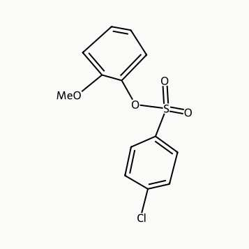 COc1ccccc1OS(=O)(=O)c1ccc(Cl)cc1